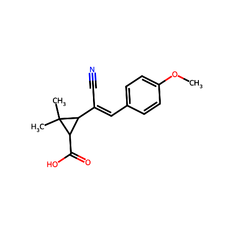 COc1ccc(/C=C(\C#N)C2C(C(=O)O)C2(C)C)cc1